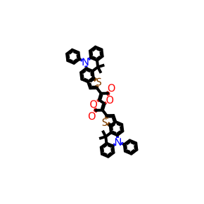 CC1(C)c2ccccc2N(c2ccccc2)c2ccc3cc(C4=C5OC(=O)C(c6cc7ccc8c(c7s6)C(C)(C)c6ccccc6N8c6ccccc6)=C5OC4=O)sc3c21